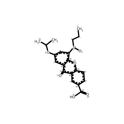 CCC[S+]([O-])c1cc(OC(C)C)cc2c(=O)c3cc(C(=O)O)ccc3oc12